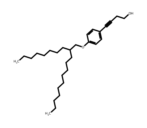 CCCCCCCCCCC(CCCCCCCC)COc1ccc(C#CCCO)cc1